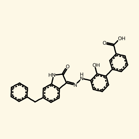 O=C1Nc2cc(Cc3ccccc3)ccc2C1=NNc1cccc(-c2cccc(C(=O)O)c2)c1O